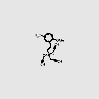 C#CO[Si](CCc1cc(C)ccc1OC)(OC#C)OC#C